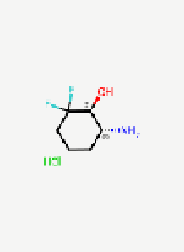 Cl.N[C@@H]1CCCC(F)(F)[C@H]1O